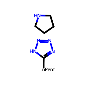 C1CCNC1.CCCCCc1nnn[nH]1